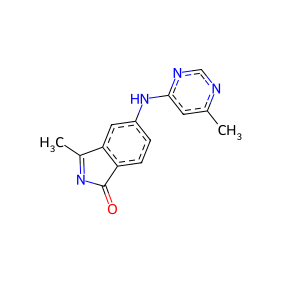 CC1=NC(=O)c2ccc(Nc3cc(C)ncn3)cc21